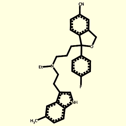 CCN(CCCC1(c2ccc(F)cc2)OCc2cc(C#N)ccc21)CCc1c[nH]c2ccc(C)cc12